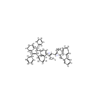 C/C(=C\C=C(/N)c1nc2ccccc2c2ccccc12)c1ccc2c3c(cccc13)-c1c-2c(-c2ccccc2)c2ccccc2c1-c1ccccc1